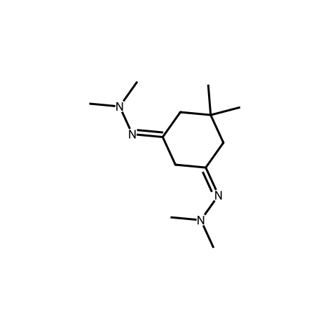 CN(C)N=C1CC(=NN(C)C)CC(C)(C)C1